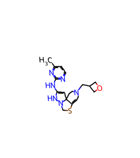 Cc1ccnc(NC2=CC34CCN(CC5COC5)CC=C3SCN4N2)n1